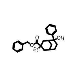 CCC1(C(=O)OCc2ccccc2)CC2CCC(O)(c3ccccc3)C(C2)C1